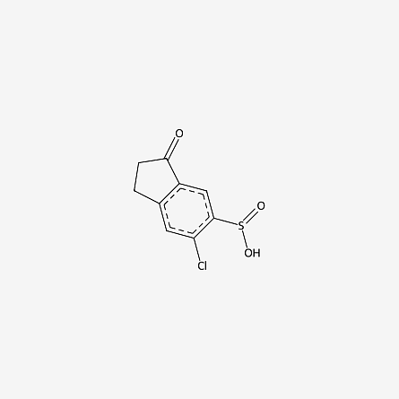 O=C1CCc2cc(Cl)c(S(=O)O)cc21